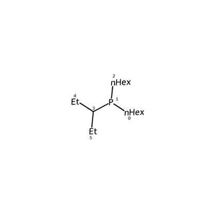 CCCCCCP(CCCCCC)C(CC)CC